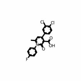 Cc1cc(-c2ccc(Cl)c(Cl)c2)c(C(=O)O)c(=O)n1-c1ccc(F)cc1